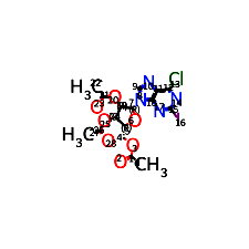 CC(=O)OC[C@H]1O[C@@H](n2cnc3c(Cl)nc(I)nc32)[C@H](OC(C)=O)[C@H]1OC(C)=O